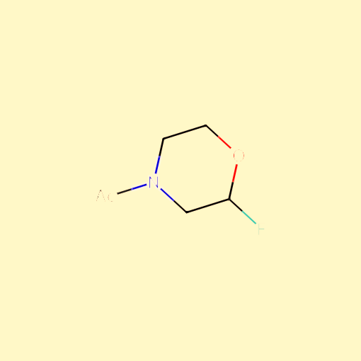 CC(=O)N1CCOC(F)C1